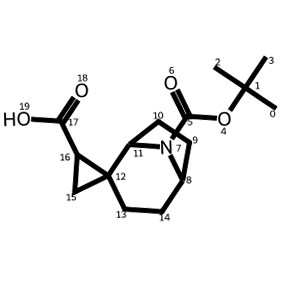 CC(C)(C)OC(=O)N1C2CCC1C1(CC2)CC1C(=O)O